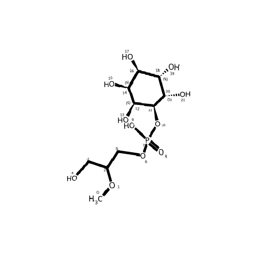 COC(CO)COP(=O)(O)O[C@H]1[C@@H](O)[C@@H](O)[C@@H](O)[C@H](O)[C@@H]1O